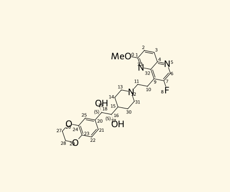 COc1ccc2ncc(F)c(CCN3CCC([C@H](O)[C@@H](O)c4ccc5c(c4)OCCO5)CC3)c2n1